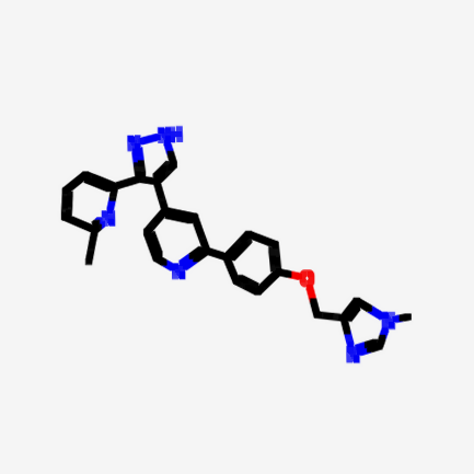 Cc1cccc(-c2n[nH]cc2-c2ccnc(-c3ccc(OCc4cn(C)cn4)cc3)c2)n1